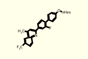 CCCCCCOc1ccc(-c2ccc(-c3cc(C)c4cc(C(F)(F)F)ccc4n3)cc2F)cc1